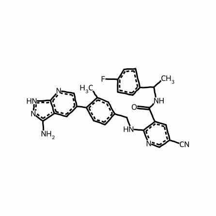 Cc1cc(CNc2ncc(C#N)cc2C(=O)NC(C)c2ccc(F)cc2)ccc1-c1cnc2[nH]nc(N)c2c1